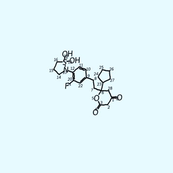 O=C1CC(=O)OC(CCc2ccc(N3CCCS3(O)O)c(F)c2)(C2CCCC2)C1